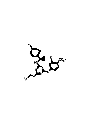 O=C(O)c1ccc(Nc2nc(NC3(c4ccc(Cl)cc4)CC3)nc(OCC(F)(F)F)n2)cc1F